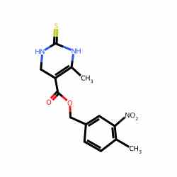 CC1=C(C(=O)OCc2ccc(C)c([N+](=O)[O-])c2)CNC(=S)N1